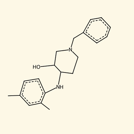 Cc1ccc(NC2CCN(Cc3ccccc3)CC2O)c(C)c1